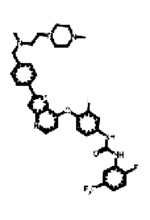 CN1CCN(CCN(C)Cc2ccc(-c3cc4nccc(Oc5ccc(NC(=O)Nc6cc(C(F)(F)F)ccc6F)cc5F)c4s3)cc2)CC1